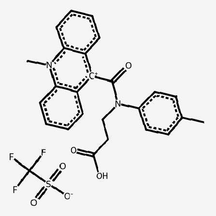 Cc1ccc(N(CCC(=O)O)C(=O)[c+]2c3ccccc3n(C)c3ccccc32)cc1.O=S(=O)([O-])C(F)(F)F